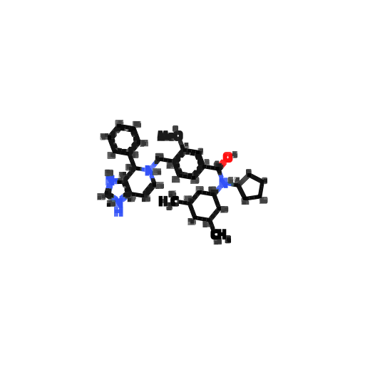 COc1cc(C(=O)N(C2CCCC2)C2CC(C)CC(C)C2)ccc1CN1C=Cc2[nH]cnc2C1c1ccccc1